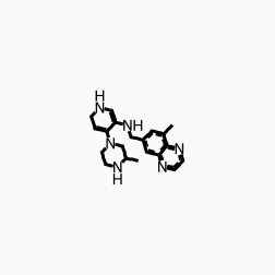 Cc1cc(CNC2=CNCC=C2N2CCNC(C)C2)cc2nccnc12